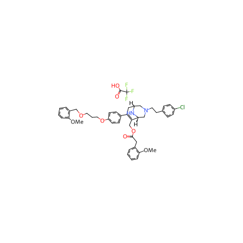 COc1ccccc1COCCCOc1ccc(C2=C(COC(=O)Cc3ccccc3OC)[C@H]3CN(CCc4ccc(Cl)cc4)C[C@@H](C2)N3)cc1.O=C(O)C(F)(F)F